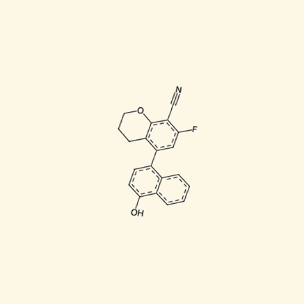 N#Cc1c(F)cc(-c2ccc(O)c3ccccc23)c2c1OCCC2